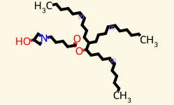 CCCCC/C=C\CCCC(CCC/C=C\CCCCC)C(CCC/C=C\CCCCC)OC(=O)CCCCN1CC(O)C1